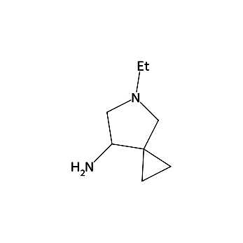 CCN1CC(N)C2(CC2)C1